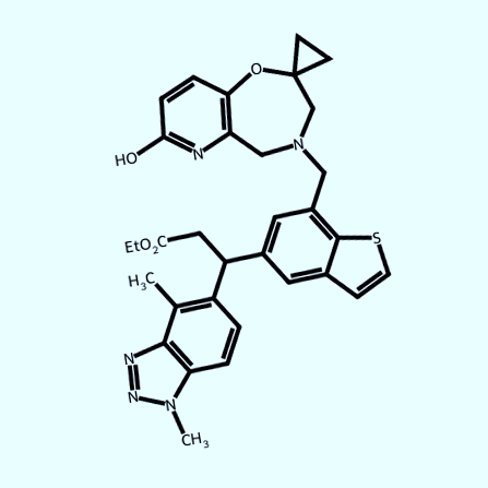 CCOC(=O)CC(c1cc(CN2Cc3nc(O)ccc3OC3(CC3)C2)c2sccc2c1)c1ccc2c(nnn2C)c1C